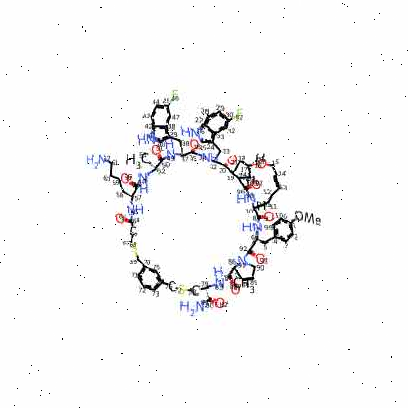 COc1ccc(C[C@@H]2NC(=O)[C@@H]3CC/C=C\CO[C@@H]4CC(C(=O)[C@H](Cc5c[nH]c6ccc(F)cc56)NC(=O)[C@H](Cc5c[nH]c6ccc(F)cc56)NC(=O)[C@@H](C)NC(=O)[C@H](CCCCN)NC(=O)CCSCc5cccc(c5)CSC[C@@H](C(N)=O)NC(=O)[C@]5(C)CCCN5C2=O)[C@@H](C4)C(=O)N3)cc1